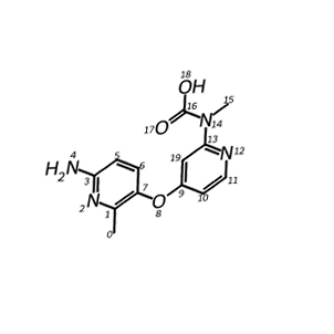 Cc1nc(N)ccc1Oc1ccnc(N(C)C(=O)O)c1